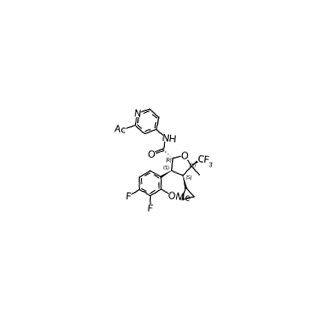 COc1c([C@H]2[C@H](C(=O)Nc3ccnc(C(C)=O)c3)O[C@@](C)(C(F)(F)F)[C@H]2C2CC2)ccc(F)c1F